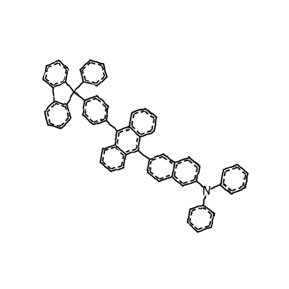 c1ccc(N(c2ccccc2)c2ccc3cc(-c4c5ccccc5c(-c5ccc(C6(c7ccccc7)c7ccccc7-c7ccccc76)cc5)c5ccccc45)ccc3c2)cc1